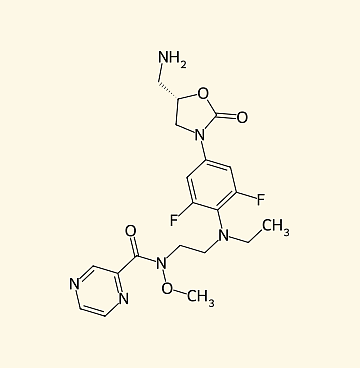 CCN(CCN(OC)C(=O)c1cnccn1)c1c(F)cc(N2C[C@H](CN)OC2=O)cc1F